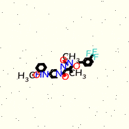 COc1nc(OCc2cccc(C(F)(F)F)c2)c(C)c(C(=O)N2CCC(N[C@H]3CCCC[C@H]3OC)CC2)n1